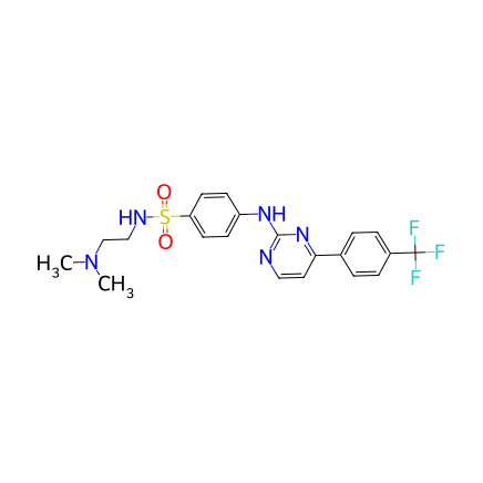 CN(C)CCNS(=O)(=O)c1ccc(Nc2nccc(-c3ccc(C(F)(F)F)cc3)n2)cc1